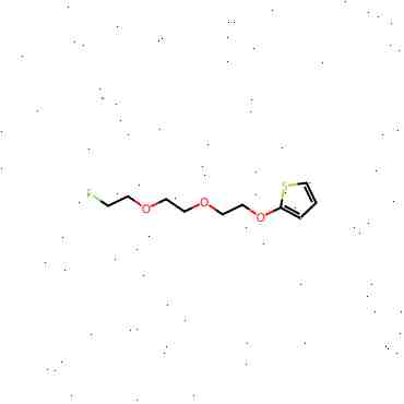 FCCOCCOCCOc1cc[c]s1